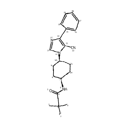 CC(C)(F)C(=O)N[C@H]1CC[C@@H](n2cnc(-c3ccccc3)c2C#N)CC1